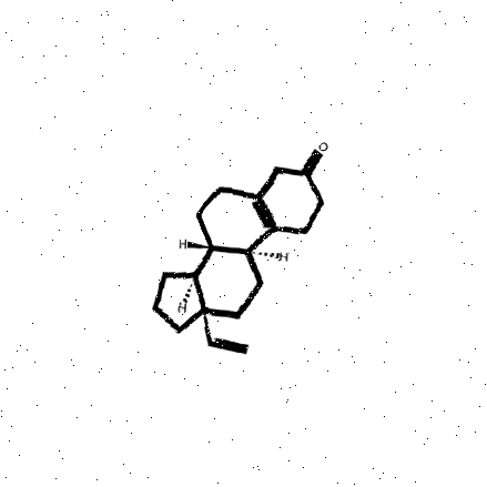 C=C[C@@]12CCC[C@H]1[C@@H]1CCC3=C(CCC(=O)C3)[C@H]1CC2